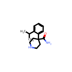 CC(C)c1ccccc1C1(C(N)=O)CCNCC1